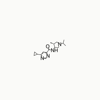 CC(C)N1C[C@H](C)[C@H](NC(=O)c2cc(C3CC3)ncn2)C1